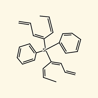 C=C/C=C(\C=C/C)[Si](C(/C=C\C)=C/C=C)(c1ccccc1)c1ccccc1